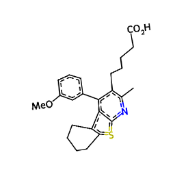 COc1cccc(-c2c(CCCCC(=O)O)c(C)nc3sc4c(c23)CCCC4)c1